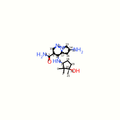 CC1(C)[C@@H](Nc2c(C(N)=O)cnn3cc(N)cc23)CC[C@]1(C)O